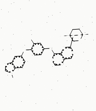 Cc1cc(Nc2ncnc3cnc(N4C[C@@H]5CC[C@H]4CO5)nc23)ccc1Oc1ccc2c(c1)ncn2C